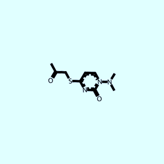 CC(=O)CSc1ccn(N(C)C)c(=O)n1